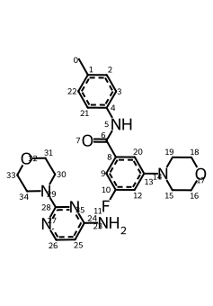 Cc1ccc(NC(=O)c2cc(F)cc(N3CCOCC3)c2)cc1.Nc1ccnc(N2CCOCC2)n1